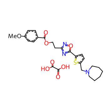 COc1ccc(C(=O)OCCc2noc(-c3ccc(CN4CCCCCC4)s3)n2)cc1.O=C(O)C(=O)O